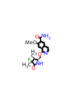 COc1cc2c(OC[C@H]3NC(=O)[C@@](C)(F)[C@H]3C)nccc2cc1C(N)=O